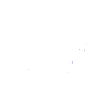 O=S1(=O)Nc2c(cc(Cl)c3c(Cl)c[nH]c23)CN1Cc1ccc(C(F)(F)F)nc1